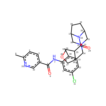 Cc1ccc(C(=O)Nc2cc(Cl)cc(CN3CC4CCC(C3)N4C(=O)C3CCOC3)c2C)cn1